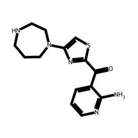 Nc1ncccc1C(=O)c1nc(N2CCCNCC2)cs1